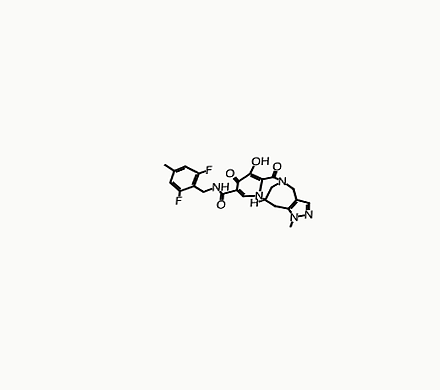 Cc1cc(F)c(CNC(=O)c2cn3c(c(O)c2=O)C(=O)N2Cc4cnn(C)c4C[C@H]3C2)c(F)c1